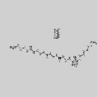 CCCCCCCCS(=O)(=O)C(N)CCCNCCCNCCCCNCCCCN.Cl.Cl.Cl.Cl